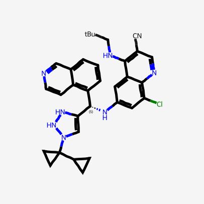 CC(C)(C)CNc1c(C#N)cnc2c(Cl)cc(N[C@H](C3=CN(C4(C5CC5)CC4)NN3)c3cccc4cnccc34)cc12